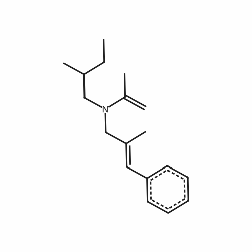 C=C(C)N(C/C(C)=C/c1ccccc1)CC(C)CC